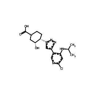 CC(C)Nc1cc(Cl)ncc1-c1cn([C@H]2CCN(C(=O)O)C[C@H]2O)nn1